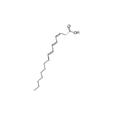 CCCCCCCCC=CC=C/C=C\CC(=O)O